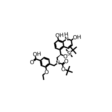 CCOc1cc(C(=O)O)ccc1CN(C[C@H](O[Si](C)(C)C(C)(C)C)c1ccc(O)c2c1C=CC(O)N2)C(=O)OC(C)(C)C